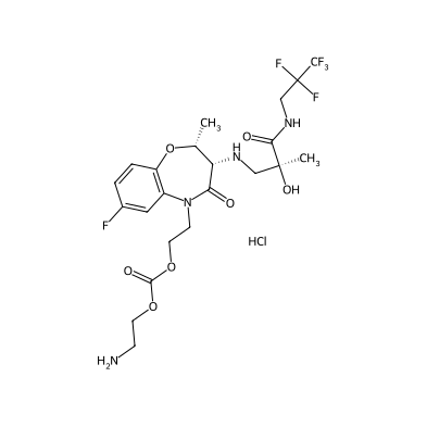 C[C@H]1Oc2ccc(F)cc2N(CCOC(=O)OCCN)C(=O)[C@H]1NC[C@](C)(O)C(=O)NCC(F)(F)C(F)(F)F.Cl